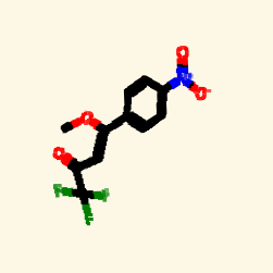 CO/C(=C\C(=O)C(F)(F)F)c1ccc([N+](=O)[O-])cc1